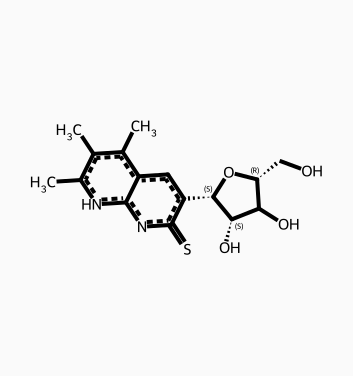 Cc1[nH]c2nc(=S)c([C@@H]3O[C@H](CO)C(O)[C@@H]3O)cc-2c(C)c1C